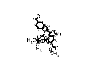 COC(=O)c1ccc2c(-c3cc4cc(C=O)ccc4n3C(=O)OC(C)(C)C)n[nH]c2c1